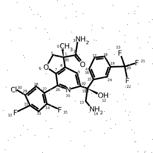 C[C@]1(C(N)=O)COc2c1cc([C@@](O)(CN)c1cccc(C(F)(F)F)c1)nc2-c1cc(Cl)c(F)cc1F